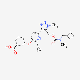 CN(CC1CCC1)C(=O)OCc1c(-c2ccc(O[C@H]3CCC[C@H](C(=O)O)C3)c(C3CC3)n2)nnn1C